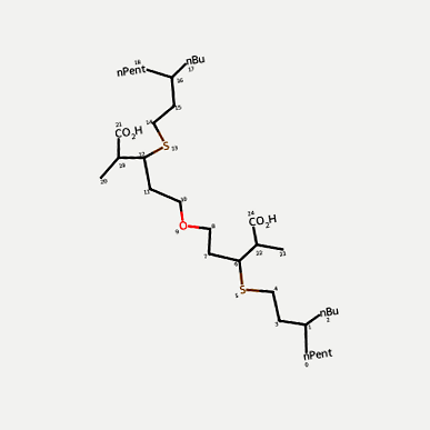 CCCCCC(CCCC)CCSC(CCOCCC(SCCC(CCCC)CCCCC)C(C)C(=O)O)C(C)C(=O)O